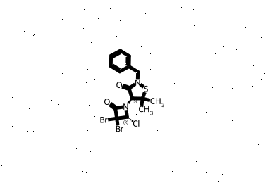 CC1(C)SN(Cc2ccccc2)C(=O)[C@@H]1N1C(=O)C(Br)(Br)[C@H]1Cl